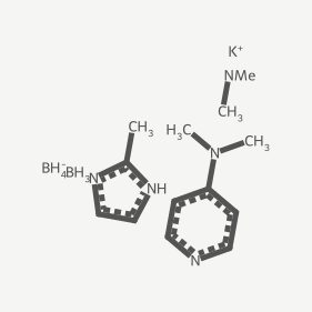 B.CN(C)c1ccncc1.CNC.Cc1ncc[nH]1.[BH4-].[K+]